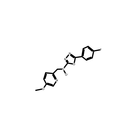 COc1ccc(C[S+]([O-])c2nnc(-c3ccc(F)cc3)o2)nc1